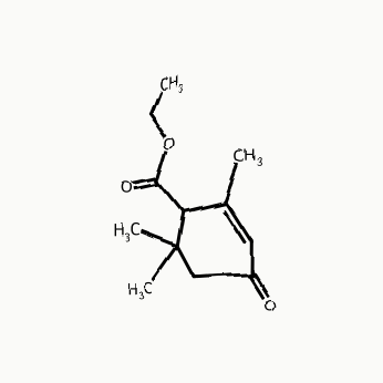 CCOC(=O)C1C(C)=CC(=O)CC1(C)C